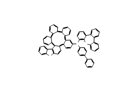 c1ccc(-c2ccc(N(c3ccc4c(c3)c3ccccc3c3ccccc3c3ccccc3c3c4ccc4sc5ccccc5c43)c3cccc4c3Oc3ccccc3-c3ccccc3-4)cc2)cc1